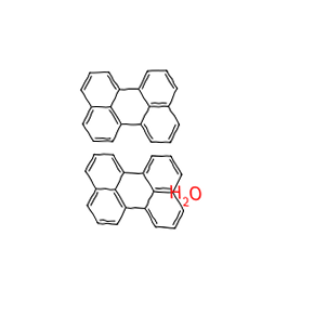 O.c1cc2cccc3c4cccc5cccc(c(c1)c23)c54.c1cc2cccc3c4cccc5cccc(c(c1)c23)c54